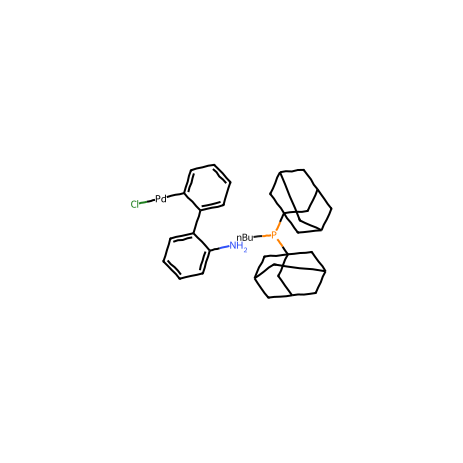 CCCCP(C12CC3CC(CC(C3)C1)C2)C12CC3CC(CC(C3)C1)C2.Nc1ccccc1-c1cccc[c]1[Pd][Cl]